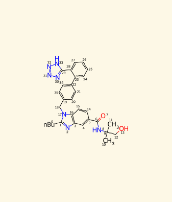 CCCCc1nc2cc(C(=O)NC(C)(C)CO)ccc2n1Cc1ccc(-c2ccccc2-c2nnn[nH]2)cc1